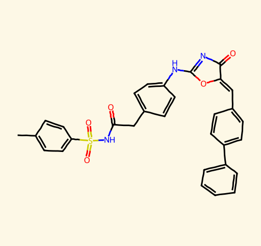 Cc1ccc(S(=O)(=O)NC(=O)Cc2ccc(NC3=NC(=O)C(=Cc4ccc(-c5ccccc5)cc4)O3)cc2)cc1